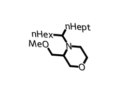 CCCCCCCC(CCCCCC)N1CCOCC1COC